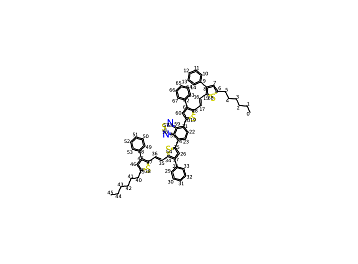 CCCCCCc1cc(-c2ccccc2)c(/C=C/c2sc(-c3ccc(-c4cc(-c5ccccc5)c(/C=C/c5sc(CCCCCC)cc5-c5ccccc5)s4)c4nsnc34)cc2-c2ccccc2)s1